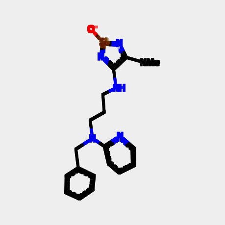 CNc1n[s+]([O-])nc1NCCCN(Cc1ccccc1)c1ccccn1